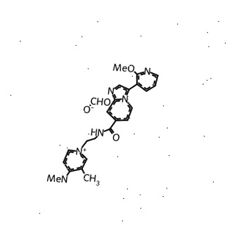 CNc1cc[n+](CCNC(=O)c2ccn3c(-c4cccnc4OC)cnc3c2)cc1C.O=C[O-]